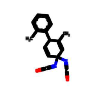 CC1=CC(N=C=O)(N=C=O)C=CC1c1ccccc1C